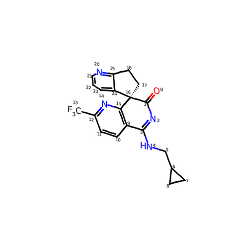 O=C1N=C(NCC2CC2)c2ccc(C(F)(F)F)nc2[C@]12CCc1ncccc12